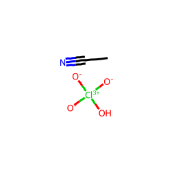 CC#N.[O-][Cl+3]([O-])([O-])O